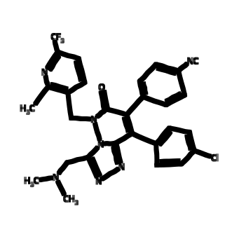 [C-]#[N+]c1ccc(-c2c(-c3ccc(Cl)cc3)c3nnc(CN(C)C)n3n(Cc3ccc(C(F)(F)F)nc3C)c2=O)cc1